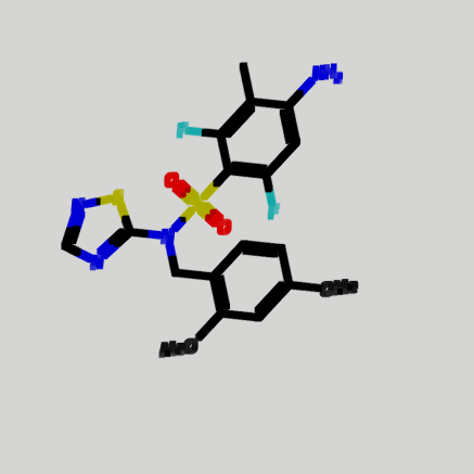 COc1ccc(CN(c2ncns2)S(=O)(=O)c2c(F)cc(N)c(C)c2F)c(OC)c1